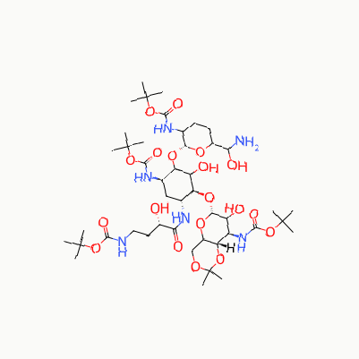 CC(C)(C)OC(=O)NCC[C@H](O)C(=O)N[C@@H]1C[C@@H](NC(=O)OC(C)(C)C)C(O[C@H]2OC(C(N)O)CCC2NC(=O)OC(C)(C)C)C(O)[C@H]1O[C@H]1OC2COC(C)(C)O[C@H]2[C@H](NC(=O)OC(C)(C)C)C1O